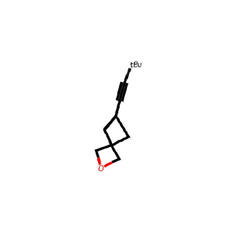 CC(C)(C)C#CC1CC2(COC2)C1